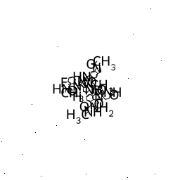 CNC(=O)C(N)c1cccc2c1C(=O)N(C1CCC(=O)NC1=O)C2=O.CNC(=O)c1c(F)cccc1Nc1nc(Nc2cc3c(ccn3C(C)=O)cc2OC)nc2[nH]ccc12